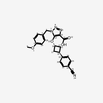 COc1ccc(Cn2nnc(C(=O)O)c2O[C@H]2C[C@H](c3ccc(C#N)cc3)C2)cc1